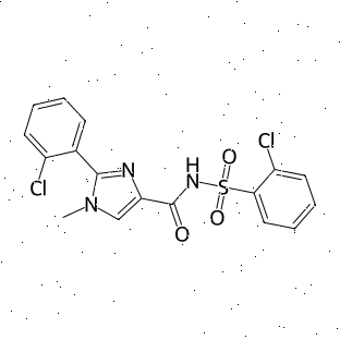 Cn1cc(C(=O)NS(=O)(=O)c2ccccc2Cl)nc1-c1ccccc1Cl